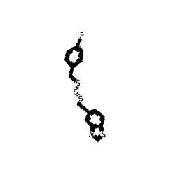 Fc1ccc(CSSSCc2ccc3scnc3c2)cc1